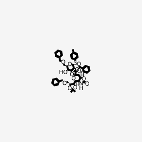 COC(=O)[C@@]1(O[C@H]2[C@@H](O)[C@@H](COCc3ccccc3)O[C@@H](Sc3ccc(C)cc3)[C@@H]2OC(=O)c2ccccc2)C[C@@H]2OC(=O)N[C@H]2[C@H]([C@@H]2OC(C)(C)O[C@@H]2COCc2ccccc2)O1